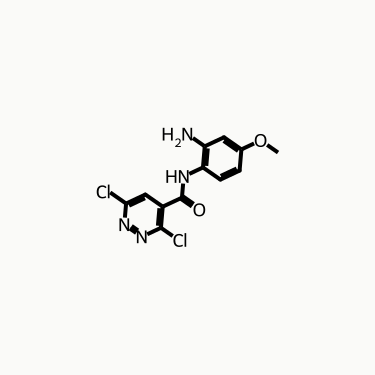 COc1ccc(NC(=O)c2cc(Cl)nnc2Cl)c(N)c1